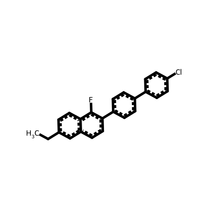 CCc1ccc2c(F)c(-c3ccc(-c4ccc(Cl)cc4)cc3)ccc2c1